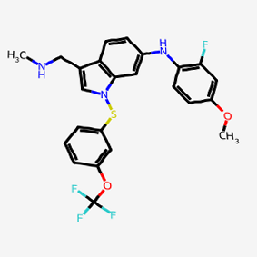 CNCc1cn(Sc2cccc(OC(F)(F)F)c2)c2cc(Nc3ccc(OC)cc3F)ccc12